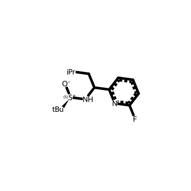 CC(C)CC(N[S@+]([O-])C(C)(C)C)c1cccc(F)n1